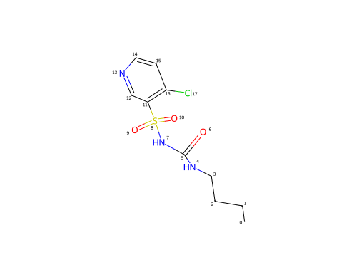 CCCCNC(=O)NS(=O)(=O)c1cnccc1Cl